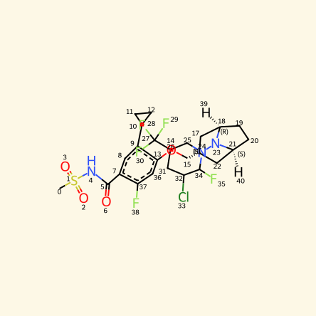 CS(=O)(=O)NC(=O)c1cc(C2CC2)c(OC[C@@H]2C[C@H]3CC[C@@H](C2)N3N2CC(C(F)(F)F)CC(Cl)C2F)cc1F